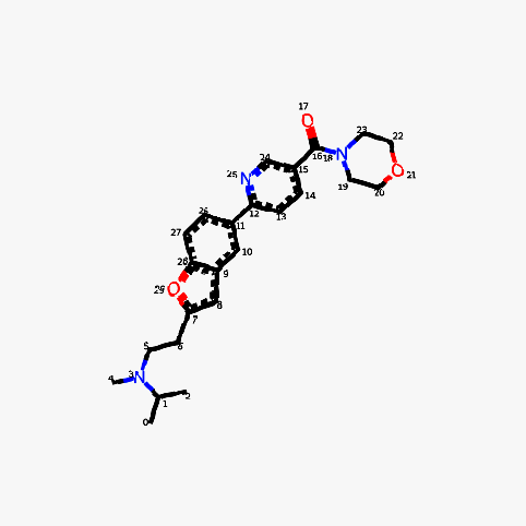 CC(C)N(C)CCc1cc2cc(-c3ccc(C(=O)N4CCOCC4)cn3)ccc2o1